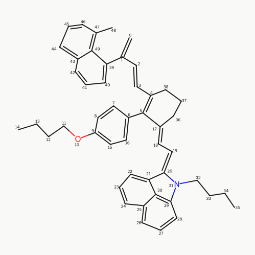 C=C(/C=C/C1=C(c2ccc(OCCCC)cc2)C(=C/C=c2\c3cccc4cccc(c43)n2CCCC)/CCC1)c1cccc2cccc(C)c12